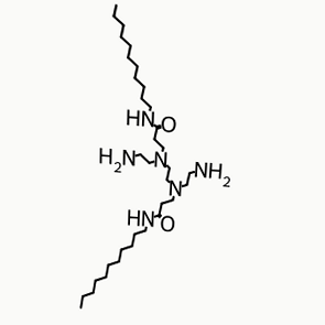 CCCCCCCCCCCNC(=O)CCN(CCN)CCN(CCN)CCC(=O)NCCCCCCCCCCC